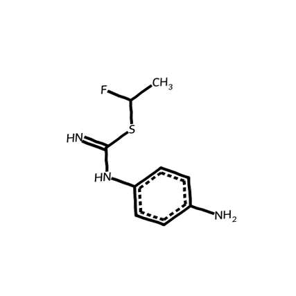 CC(F)SC(=N)Nc1ccc(N)cc1